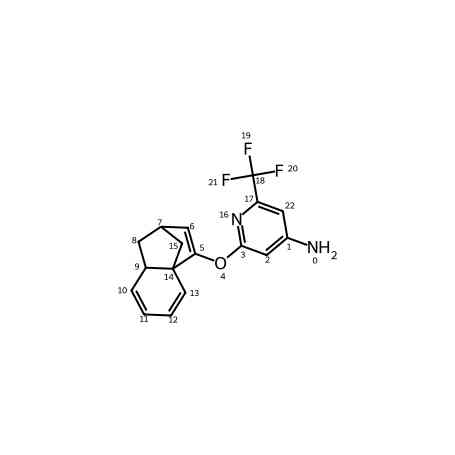 Nc1cc(OC2=CC3CC4C=CC=CC24C3)nc(C(F)(F)F)c1